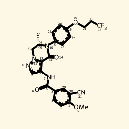 COc1ccc(C(=O)Nc2cnn3c2C(=O)N(c2ccc(OCCC(F)(F)F)cc2)[C@@H](C)C3)cc1C#N